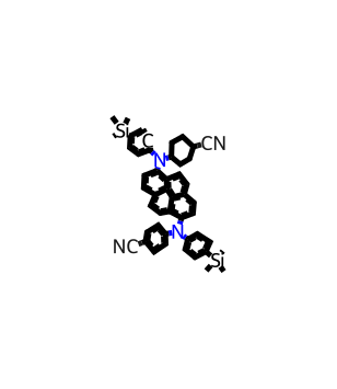 C[Si](C)(C)c1ccc(N(c2ccc(C#N)cc2)c2ccc3ccc4c(N(c5ccc([Si](C)(C)C)cc5)C5CCC(C#N)CC5)ccc5ccc2c3c54)cc1